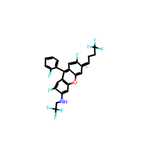 Fc1cc2c(cc1NCC(F)(F)F)Oc1c/c(=C/CCC(F)(F)F)c(F)cc1=C2c1ccccc1F